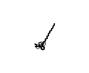 CCCCCCCCCCCCCCCOC(=O)c1ccccc1C(=O)OC(C)CC